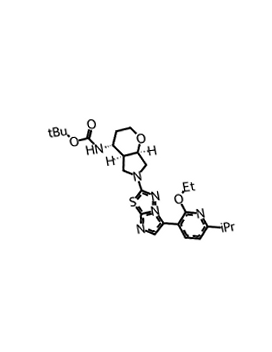 CCOc1nc(C(C)C)ccc1-c1cnc2sc(N3C[C@@H]4[C@H](C3)OCC[C@H]4NC(=O)OC(C)(C)C)nn12